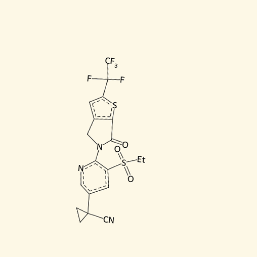 CCS(=O)(=O)c1cc(C2(C#N)CC2)cnc1N1Cc2cc(C(F)(F)C(F)(F)F)sc2C1=O